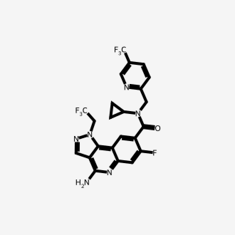 Nc1nc2cc(F)c(C(=O)N(Cc3ccc(C(F)(F)F)cn3)C3CC3)cc2c2c1cnn2CC(F)(F)F